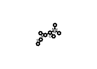 c1ccc(-c2nc(-c3ccccc3)nc(-c3ccc(-c4ccc5c(c4)c4ccccc4n5-c4ccc5c(c4)sc4ccccc45)c4oc5ccccc5c34)n2)cc1